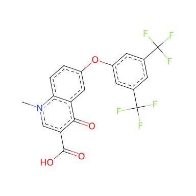 Cn1cc(C(=O)O)c(=O)c2cc(Oc3cc(C(F)(F)F)cc(C(F)(F)F)c3)ccc21